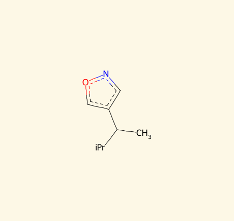 CC(C)C(C)c1cnoc1